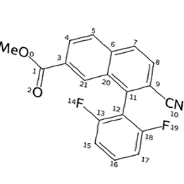 COC(=O)c1ccc2ccc(C#N)c(-c3c(F)cccc3F)c2c1